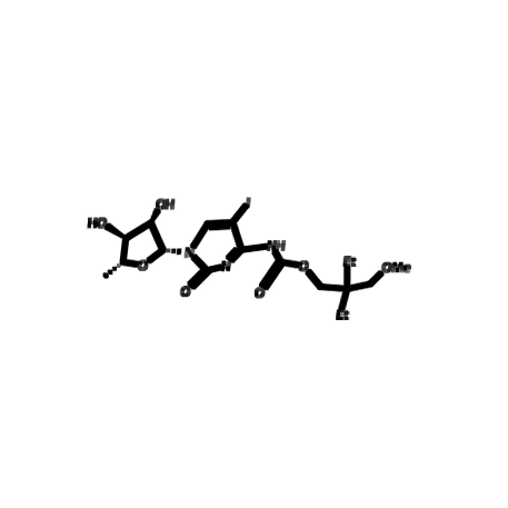 CCC(CC)(COC)COC(=O)Nc1nc(=O)n([C@@H]2O[C@H](C)[C@@H](O)[C@H]2O)cc1I